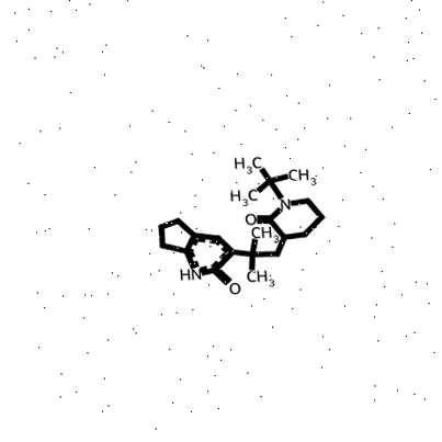 CC(C)(CC1CCCN(C(C)(C)C)C1=O)c1cc2c([nH]c1=O)CCC2